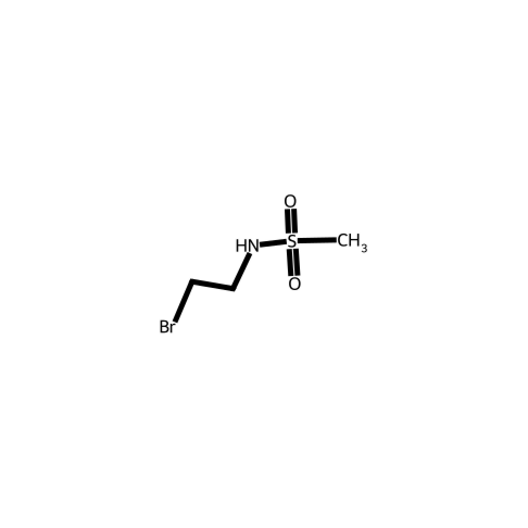 CS(=O)(=O)NCCBr